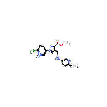 COC(=O)c1nn(-c2ccc(Cl)nc2)cc1CNc1ccc(C)nc1